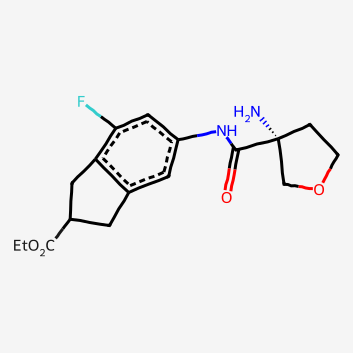 CCOC(=O)C1Cc2cc(NC(=O)[C@@]3(N)CCOC3)cc(F)c2C1